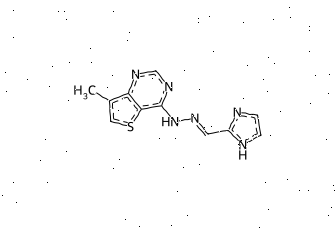 Cc1csc2c(NN=Cc3ncc[nH]3)ncnc12